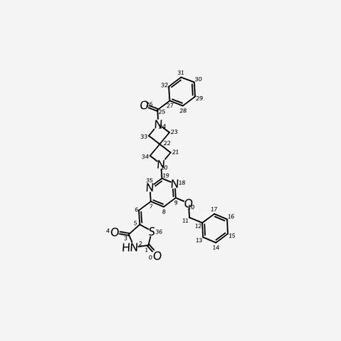 O=C1NC(=O)/C(=C/c2cc(OCc3ccccc3)nc(N3CC4(CN(C(=O)c5ccccc5)C4)C3)n2)S1